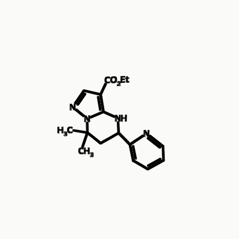 CCOC(=O)c1cnn2c1NC(c1ccccn1)CC2(C)C